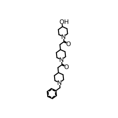 O=C(CC1CCN(C(=O)CC2CCN(Cc3ccccc3)CC2)CC1)N1CCC(O)CC1